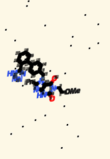 COCCn1c(=O)[nH]c2nc(C(C)C)n(Cc3ccc(-c4ccccc4-c4nnn[nH]4)cc3)c2c1=O